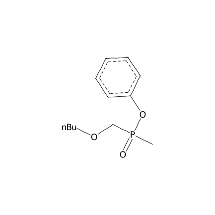 CCCCOCP(C)(=O)Oc1ccccc1